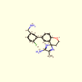 CC1=NC2(CCOc3ccc(-c4cc(CN)ccc4F)cc32)N=C1N